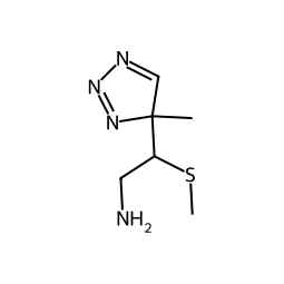 CSC(CN)C1(C)C=NN=N1